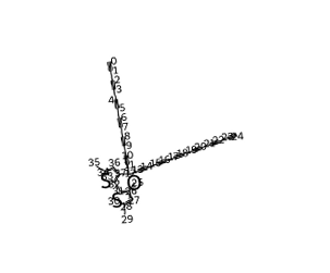 C#CC#CC#CC#CC#CC#CC1(C#CC#CC#CC#CC#CC#C)Oc2cc(C)sc2-c2sc(C)cc21